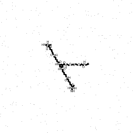 C#CCNC(=O)CCOCCOCCOCCNC(=O)c1cc(NC(=O)CCCCCNC(=O)CCCCC2SCC3NC(=N)NC32)cc(NC(=O)CCCCCNC(=O)CCCCC2SCC3NC(=N)NC32)c1